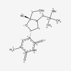 CC(=O)OC[C@@]1(C#N)O[C@@H](n2cc(C)c(=O)[nH]c2=O)CC1O[Si](C)(C)C(C)(C)C